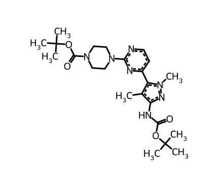 Cc1c(NC(=O)OC(C)(C)C)nn(C)c1-c1ccnc(N2CCN(C(=O)OC(C)(C)C)CC2)n1